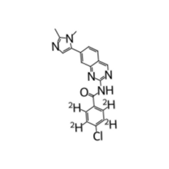 [2H]c1c([2H])c(C(=O)Nc2ncc3ccc(-c4cnc(C)n4C)cc3n2)c([2H])c([2H])c1Cl